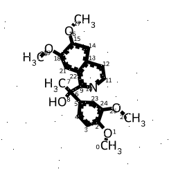 COc1ccc(C(C)(O)c2nccc3cc(OC)c(OC)cc23)cc1OC